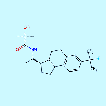 CC(NC(=O)C(C)(C)O)[C@@H]1CCC2c3ccc(C(F)(C(F)(F)F)C(F)(F)F)cc3CCC21